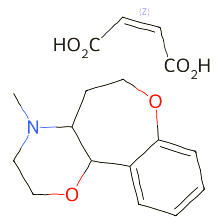 CN1CCOC2c3ccccc3OCCC21.O=C(O)/C=C\C(=O)O